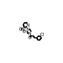 O=C(C=Cc1cccc(Cl)c1)N1CCN(c2ncccc2[N+](=O)[O-])CC1